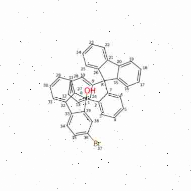 OC1(c2ccccc2C2(c3ccccc3)c3ccccc3-c3ccccc32)c2ccccc2-c2ccc(Br)cc21